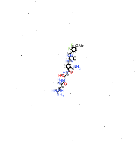 COc1ccc(-c2cnc3c(Nc4ccc(C(=O)NCC(O)CNC(=O)[C@@H](N)CCNC(=N)N)c(CN)c4)nccn23)c(F)c1F